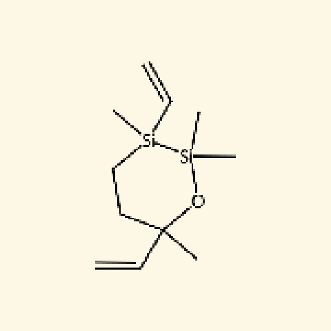 C=CC1(C)CC[Si](C)(C=C)[Si](C)(C)O1